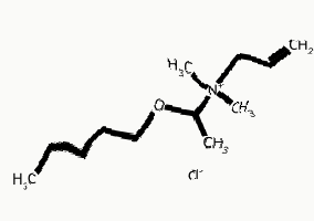 C=CC[N+](C)(C)C(C)OCCCCC.[Cl-]